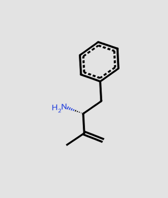 C=C(C)[C@H](N)Cc1ccccc1